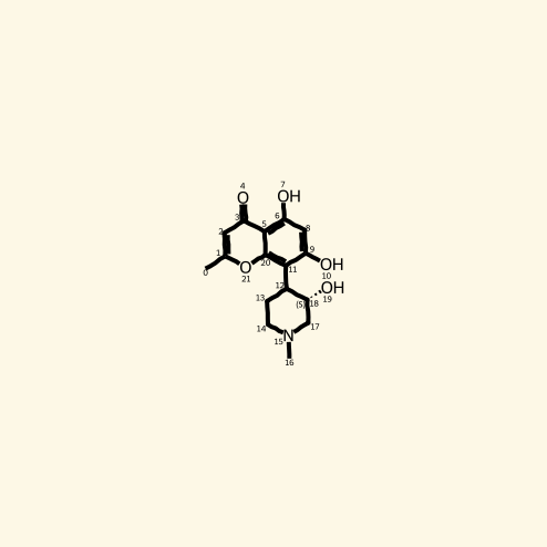 Cc1cc(=O)c2c(O)cc(O)c(C3CCN(C)C[C@H]3O)c2o1